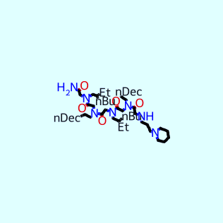 CCCCCCCCCCCCN(CC(=O)N(CC(=O)N(CCCCCCCCCCCC)CC(=O)N(CC(N)=O)CC(CC)CCCC)CC(CC)CCCC)C(=O)CNCCCN1CCCCC1